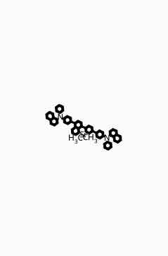 C[Si]1(C)c2cc(-c3ccc(N(c4ccccc4)c4cccc5ccccc45)cc3)ccc2-c2ccc(-c3ccc(N(c4ccccc4)c4cccc5ccccc45)cc3)c3cccc1c23